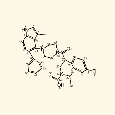 Cc1c[nH]c2ncc(-c3ccccc3)c(N3CCN(C(=O)C(CN(C(=O)O)C(C)C)c4ccc(Cl)cc4)CC3)c12